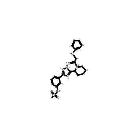 CS(=O)(=O)Nc1cccc(-c2n[nH]c(C3CCCCN3C(=O)COc3ccccc3)n2)c1